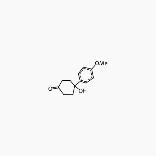 COc1ccc(C2(O)CCC(=O)CC2)cc1